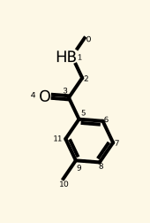 CBCC(=O)c1cccc(C)c1